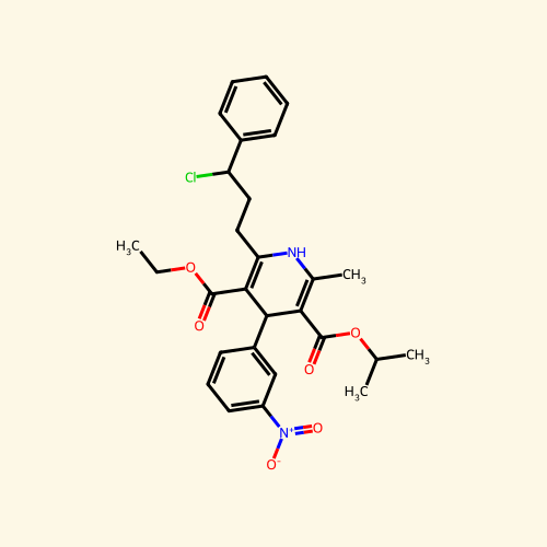 CCOC(=O)C1=C(CCC(Cl)c2ccccc2)NC(C)=C(C(=O)OC(C)C)C1c1cccc([N+](=O)[O-])c1